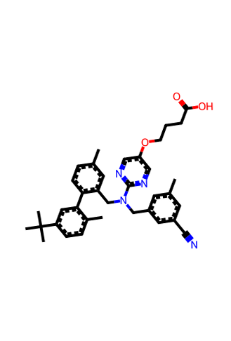 Cc1cc(C#N)cc(CN(Cc2cc(C)ccc2-c2cc(C(C)(C)C)ccc2C)c2ncc(OCCCC(=O)O)cn2)c1